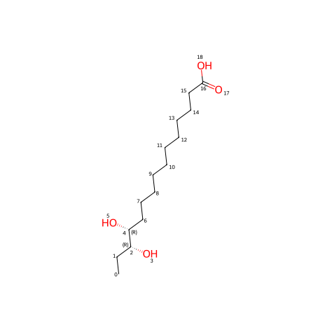 CC[C@@H](O)[C@H](O)CCCCCCCCCCC(=O)O